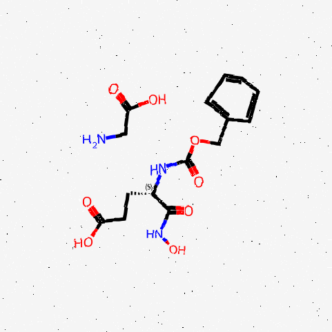 NCC(=O)O.O=C(O)CC[C@H](NC(=O)OCc1ccccc1)C(=O)NO